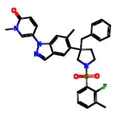 Cc1cc2c(cnn2-c2ccc(=O)n(C)c2)cc1C1(Cc2ccccc2)CCN(S(=O)(=O)c2cccc(C)c2F)C1